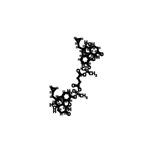 C[Si](C)(OC(=O)CCC(=O)O[Si](C)(C)Oc1ccc2c3c1O[C@H]1C(=O)CC[C@@]4(O)[C@@H](C2)N(CC2CC2)CC[C@]314)Oc1ccc2c3c1O[C@H]1C(=O)CC[C@@]4(O)[C@@H](C2)N(CC2CC2)CC[C@]314